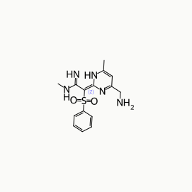 CNC(=N)/C(=C1/N=C(CN)C=C(C)N1)S(=O)(=O)c1ccccc1